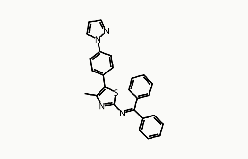 Cc1nc(N=C(c2ccccc2)c2ccccc2)sc1-c1ccc(-n2cccn2)cc1